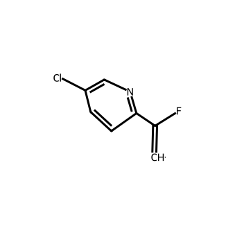 [CH]=C(F)c1ccc(Cl)cn1